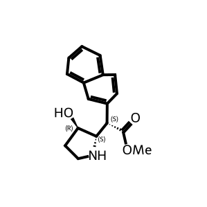 COC(=O)[C@@H](c1ccc2ccccc2c1)[C@@H]1NCC[C@H]1O